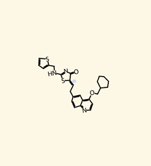 O=C1N=C(NCc2cccs2)S/C1=C\Cc1ccc2nccc(OCC3CCCCC3)c2c1